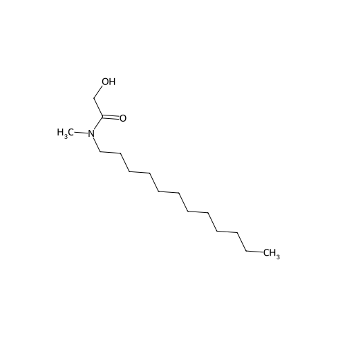 CCCCCCCCCCCCN(C)C(=O)CO